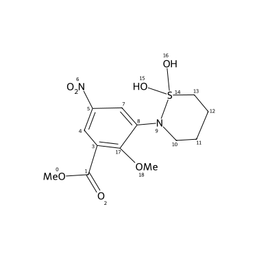 COC(=O)c1cc([N+](=O)[O-])cc(N2CCCCS2(O)O)c1OC